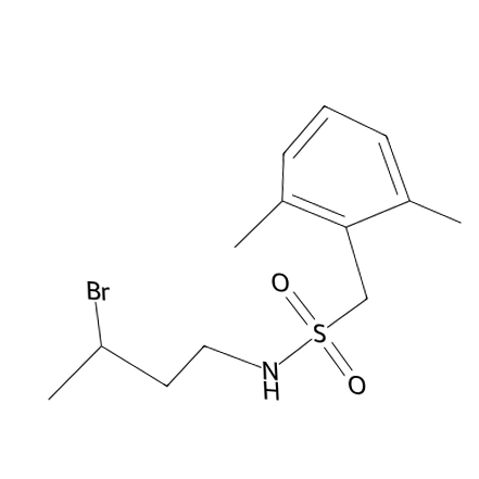 Cc1cccc(C)c1CS(=O)(=O)NCCC(C)Br